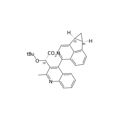 Cc1nc2ccccc2c(-c2ccc3c4c(cccc24)[C@@H]2C[C@H]32)c1[C@H](OC(C)(C)C)C(=O)O